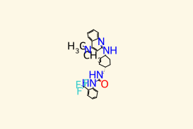 CN(C)c1cc(N[C@H]2CC[C@@H](CNC(=O)Nc3ccccc3C(F)(F)F)CC2)nc2ccccc12